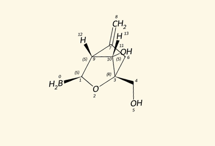 B[C@@H]1O[C@@]2(CO)CC(=C)[C@@H]1[C@@H]2O